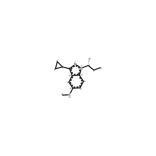 CC[C@@H](C)n1nc(C2CC2)c2cc(SC)ccc21